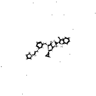 CC1=C(C(=O)NC(CCC2CC2)C(=O)NCc2cccc(OCCN3CCCC3)c2)NC2C=CC=CC12